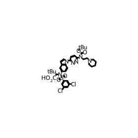 CC(C)(C)OC(=O)N(CCN1CCCCC1)c1ccc(-n2ccc3cc(N(C(C(=O)O)C(C)(C)C)S(=O)(=O)c4cc(Cl)cc(Cl)c4)ccc32)nn1